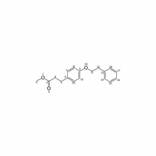 COC(=O)CCc1ccc(OCCc2ccccc2)cc1